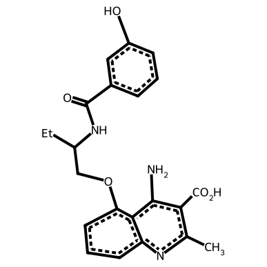 CCC(COc1cccc2nc(C)c(C(=O)O)c(N)c12)NC(=O)c1cccc(O)c1